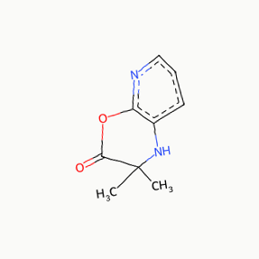 CC1(C)Nc2cccnc2OC1=O